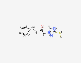 CSc1ncn(CC(=O)CCC2C=CC=CC2)n1